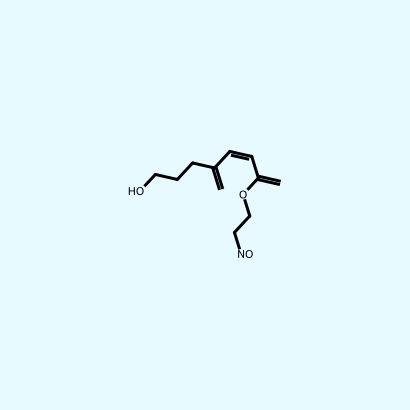 C=C(/C=C\C(=C)OCCN=O)CCCO